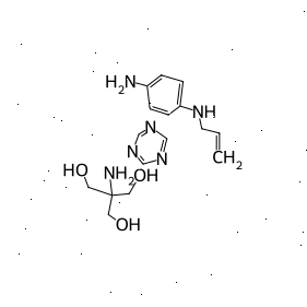 C=CCNc1ccc(N)cc1.NC(CO)(CO)CO.c1ncncn1